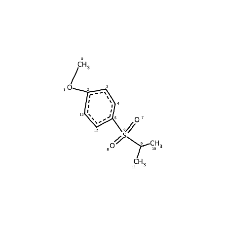 COc1ccc(S(=O)(=O)[C](C)C)cc1